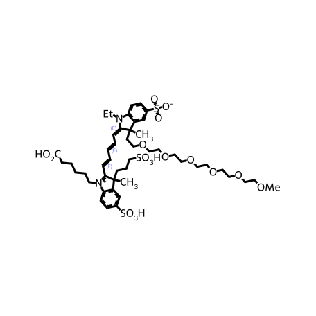 CCN1/C(=C/C=C/C=C/C2=[N+](CCCCCC(=O)O)c3ccc(S(=O)(=O)O)cc3C2(C)CCCS(=O)(=O)O)C(C)(CCOCCOCCOCCOCCOCCOC)c2cc(S(=O)(=O)[O-])ccc21